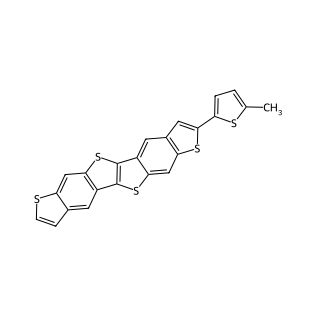 Cc1ccc(-c2cc3cc4c(cc3s2)sc2c3cc5ccsc5cc3sc42)s1